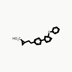 O=C(O)C1CC1CCc1ccc(-c2cccc(Oc3ccccc3)c2)cc1